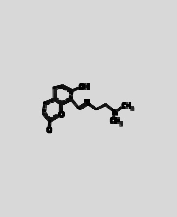 CN(C)CC/N=C/c1c(O)ccc2ccc(=O)oc12